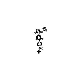 CC(C)(C)OC(=O)N1CCN(c2c(F)cc(N3C(=O)OCC3Cn3ccnn3)cc2F)CC1